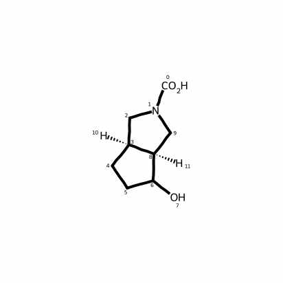 O=C(O)N1C[C@@H]2CCC(O)[C@@H]2C1